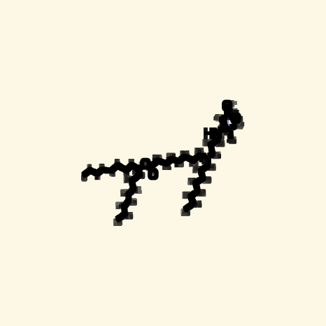 CCCCCCCCC(CCCCCCCC)OC(=O)CCCCCCCN(CCCCCCCC)CCCN/C(=C/[N+](=O)[O-])N(C)C